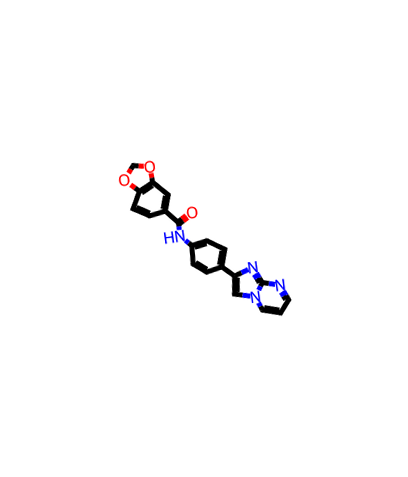 O=C(Nc1ccc(-c2cn3cccnc3n2)cc1)c1ccc2c(c1)OCO2